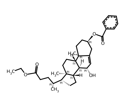 CCOC(=O)CC[C@@H](C)[C@H]1CC[C@H]2[C@@H]3[C@@H](O)C=C4C[C@H](OC(=O)c5ccccc5)CC[C@]4(C)[C@H]3CC[C@]12C